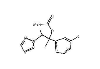 CNC(=O)OC(I)(c1cccc(Cl)c1)C(C)n1ncnn1